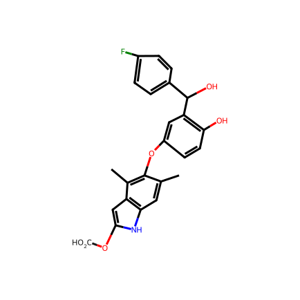 Cc1cc2[nH]c(OC(=O)O)cc2c(C)c1Oc1ccc(O)c(C(O)c2ccc(F)cc2)c1